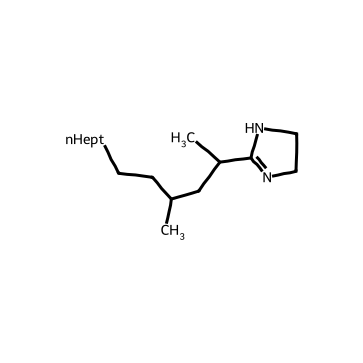 CCCCCCCCCC(C)CC(C)C1=NCCN1